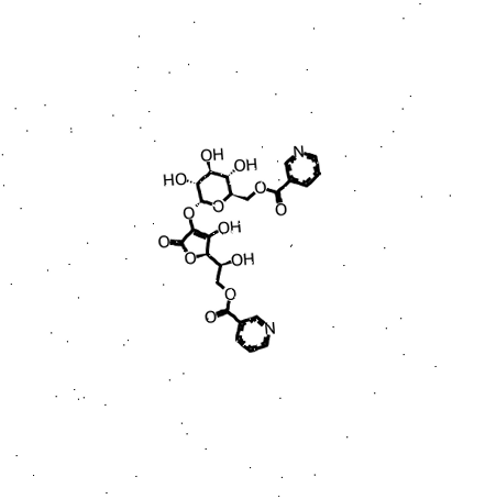 O=C1O[C@H]([C@@H](O)COC(=O)c2cccnc2)C(O)=C1O[C@H]1O[C@H](COC(=O)c2cccnc2)[C@@H](O)[C@H](O)[C@H]1O